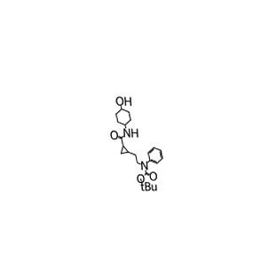 CC(C)(C)OC(=O)N(CCC1CC1C(=O)NC1CCC(O)CC1)c1ccccc1